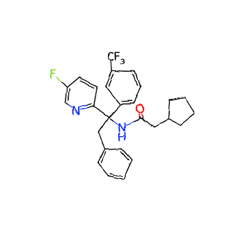 O=C(CC1CCCC1)NC(Cc1ccccc1)(c1cccc(C(F)(F)F)c1)c1ccc(F)cn1